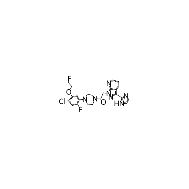 O=C(Cn1nc(-c2ncc[nH]2)c2cccnc21)N1CCN(c2cc(OCCF)c(Cl)cc2F)CC1